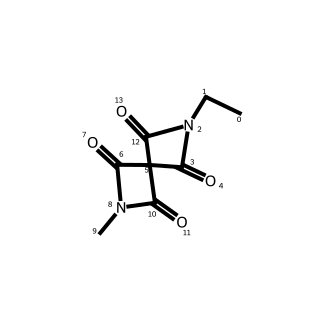 CCN1C(=O)C2(C(=O)N(C)C2=O)C1=O